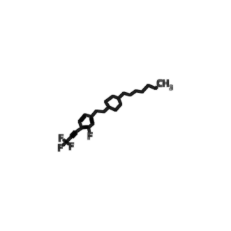 CCCCCCCC1CCC(CCc2ccc(C#CC(F)(F)F)c(F)c2)CC1